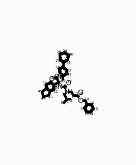 CC(C)CN(CCC(=O)OCc1ccccc1)C(=O)N[C@](Cc1ccc(-c2ccccc2)cc1)(C(=O)O)c1ccc2c(c1)CCC2